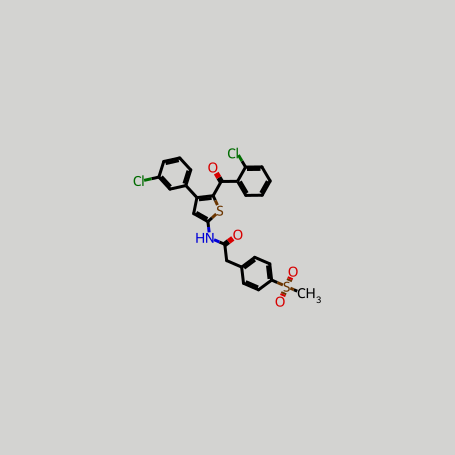 CS(=O)(=O)c1ccc(CC(=O)Nc2cc(-c3cccc(Cl)c3)c(C(=O)c3ccccc3Cl)s2)cc1